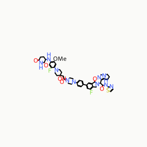 COc1cc(N2CCC(O)(CC(=O)N3CCN(c4ccc(-c5cc(F)c6c(c5)C(=O)N(C(C(=O)Nc5nccs5)c5ncn7c5CCC7)C6)cc4)CC3)CC2)c(F)cc1NC1CCC(=O)NC1=O